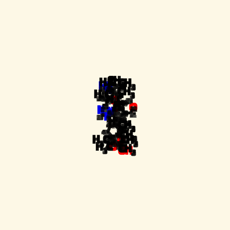 CN[C@@](C)(CO[C@H]1[C@H](n2ncnc2-c2ccncc2)C[C@@]23COC[C@]1(C)[C@@H]2CC[C@H]1C3=CC[C@]2(C)[C@H](OC(=O)O)[C@@](C)([C@H](C)C(C)C)CC[C@]12C)C(C)(C)C